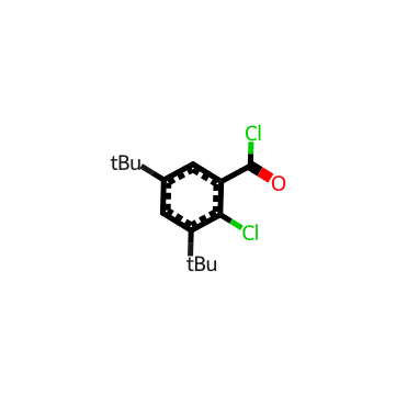 CC(C)(C)c1cc(C(=O)Cl)c(Cl)c(C(C)(C)C)c1